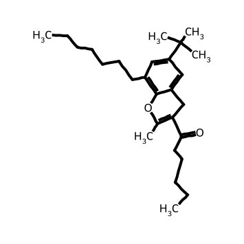 CCCCCCCc1cc(C(C)(C)C)cc2c1OC(C)=C(C(=O)CCCCC)C2